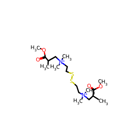 COC(=O)C(C)C[N+](C)(C)CCSSCC[N+](C)(C)CC(C)C(=O)OC